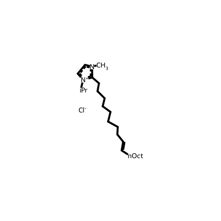 CCCCCCCCC=CCCCCCCCCc1n(C)cc[n+]1C(C)C.[Cl-]